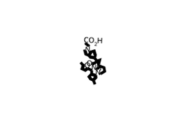 Cc1ccc(C(NC(=O)C2(c3ccc4c(ccn4CCC(=O)O)c3)CC2)c2ccc(C)o2)c(N2CCCCC2)c1